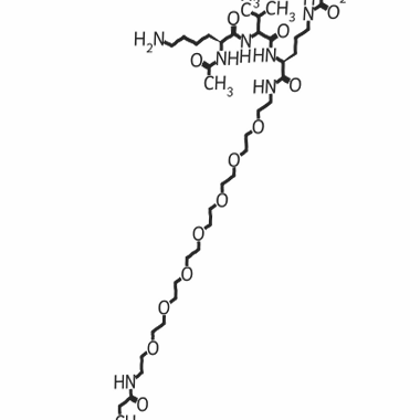 CCC(=O)NCCOCCOCCOCCOCCOCCOCCOCCNC(=O)[C@H](CCCNC(N)=O)NC(=O)C(NC(=O)[C@H](CCCCN)NC(C)=O)C(C)C